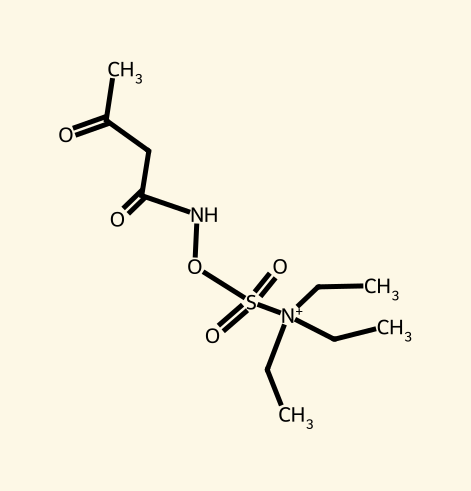 CC[N+](CC)(CC)S(=O)(=O)ONC(=O)CC(C)=O